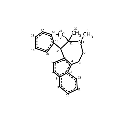 CN1CCc2c(ccc3ccccc23)C(c2ccccc2)C1(C)C